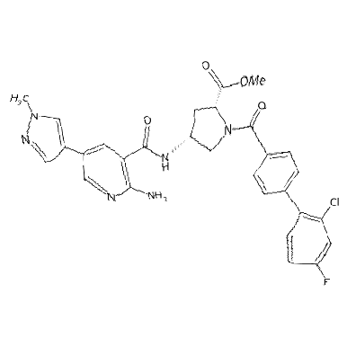 COC(=O)[C@H]1C[C@@H](NC(=O)c2cc(-c3cnn(C)c3)cnc2N)CN1C(=O)c1ccc(-c2ccc(F)cc2Cl)cc1